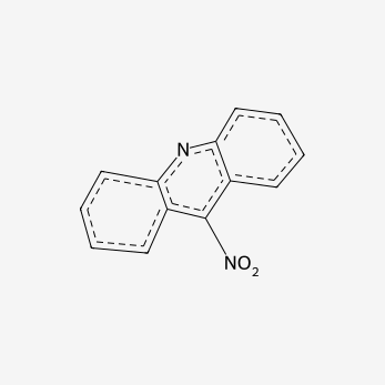 O=[N+]([O-])c1c2ccccc2nc2ccccc12